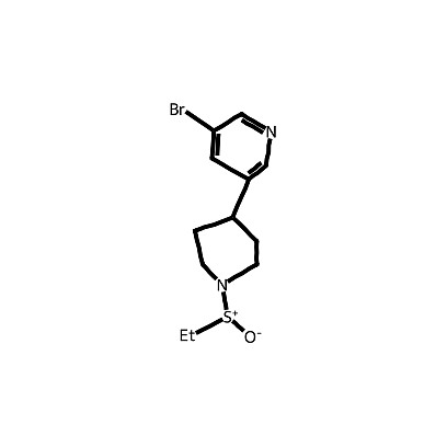 CC[S+]([O-])N1CCC(c2cncc(Br)c2)CC1